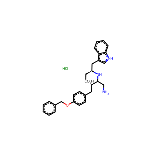 Cl.NCC(CCc1ccc(OCc2ccccc2)cc1)N[C@@H](CC(=O)O)Cc1c[nH]c2ccccc12